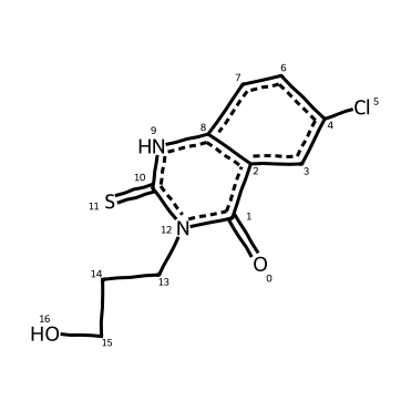 O=c1c2cc(Cl)ccc2[nH]c(=S)n1CCCO